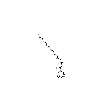 CCCCCCCCCCC[CH]CC(C)(C)CNC1COCOC1